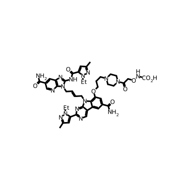 CCn1nc(C)cc1C(=O)Nc1nc2cc(C(N)=O)cnc2n1CC=CCn1c2nc(-c3cc(C)nn3CC)ncc2c2cc(C(N)=O)cc(OCCCN3CCN(C(=O)CONC(=O)O)CC3)c21